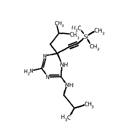 CC(C)CNC1=NC(N)=NC(C#C[Si](C)(C)C)(CC(C)C)N1